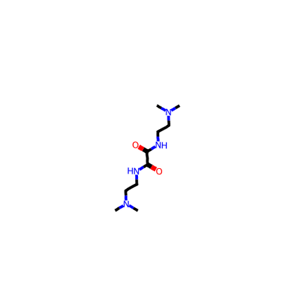 CN(C)CCNC(=O)C(=O)NCCN(C)C